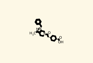 Cc1nn(Cc2ccccc2)c2c1CCN(C(=O)C[C@H]1CC[C@H](C(=O)O)CC1)C2